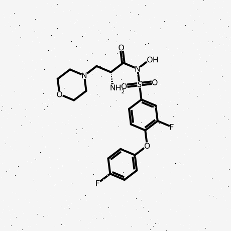 N[C@H](CN1CCOCC1)C(=O)N(O)S(=O)(=O)c1ccc(Oc2ccc(F)cc2)c(F)c1